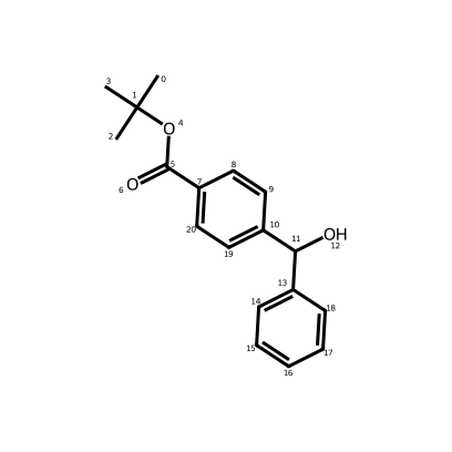 CC(C)(C)OC(=O)c1ccc(C(O)c2ccccc2)cc1